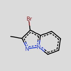 Cc1nn2ccccc2c1Br